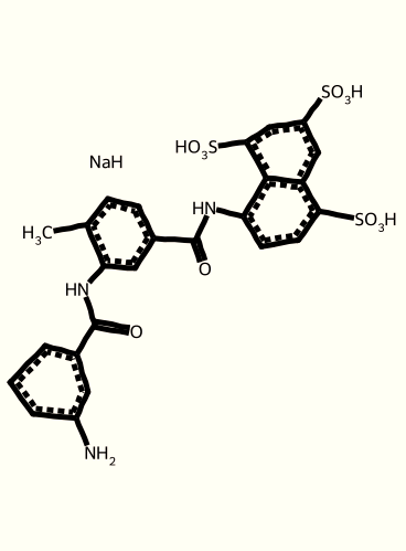 Cc1ccc(C(=O)Nc2ccc(S(=O)(=O)O)c3cc(S(=O)(=O)O)cc(S(=O)(=O)O)c23)cc1NC(=O)c1cccc(N)c1.[NaH]